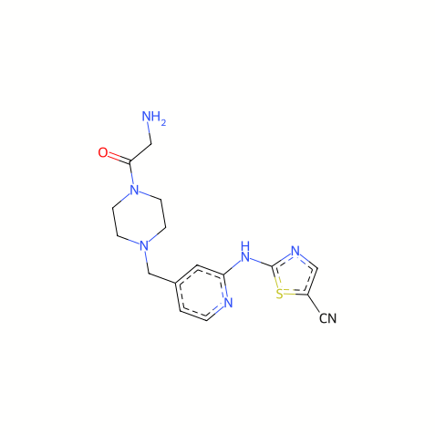 N#Cc1cnc(Nc2cc(CN3CCN(C(=O)CN)CC3)ccn2)s1